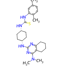 Cc1ccc(C)c(NC(=S)N[C@H]2CC[C@@H](Nc3nc4c(c(N(C)C)n3)CCCC4)CC2)c1